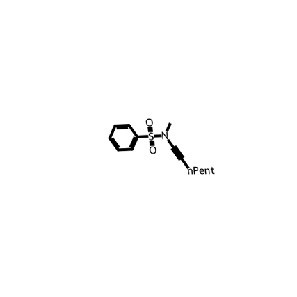 CCCCCC#CN(C)S(=O)(=O)c1ccccc1